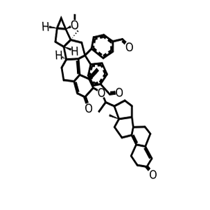 C=C1C2=C3[C@@H](CCC2=CC(=O)C1OC(C)C1CCC2C4CCC5=CC(=O)CCC5=C4CC[C@]12C)[C@@H]1C[C@@H]2C[C@]2(OC)[C@@]1(C)CC3(c1ccc(C=O)cc1)c1ccc(C=O)cc1